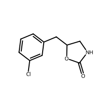 O=C1NCC(Cc2cccc(Cl)c2)O1